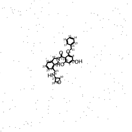 O=C(c1c(O)cc(O)cc1OCc1ccccc1)N1Cc2cccc(CNC3COC3)c2C1